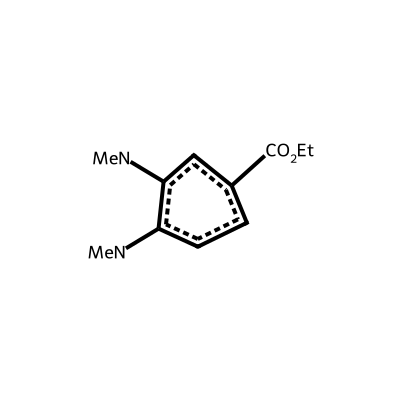 CCOC(=O)c1ccc(NC)c(NC)c1